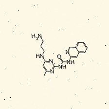 Cc1cc(NCCCN)nc(NC(=O)Nc2cc3ccccc3cn2)n1